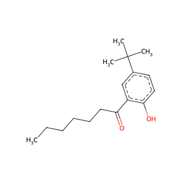 CCCCCCC(=O)c1cc(C(C)(C)C)ccc1O